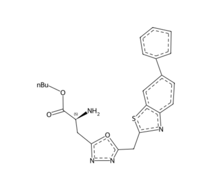 CCCCOC(=O)[C@@H](N)Cc1nnc(Cc2nc3ccc(-c4ccccc4)cc3s2)o1